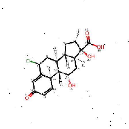 C[C@H]1C[C@H]2[C@@H]3C[C@H](Cl)C4=CC(=O)C=C[C@]4(C)[C@H]3[C@@H](O)C[C@]2(C)[C@@]1(O)C(=O)O